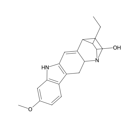 CCC1C2CCN(C3Cc4c([nH]c5cc(OC)ccc45)C=C23)C1O